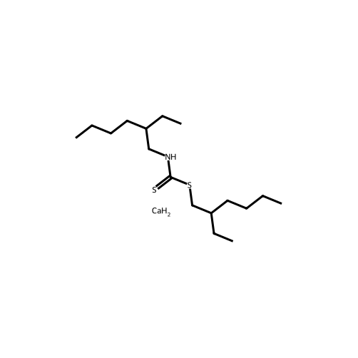 CCCCC(CC)CNC(=S)SCC(CC)CCCC.[CaH2]